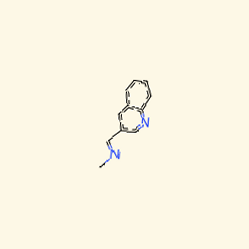 C/N=C/c1cnc2ccccc2c1